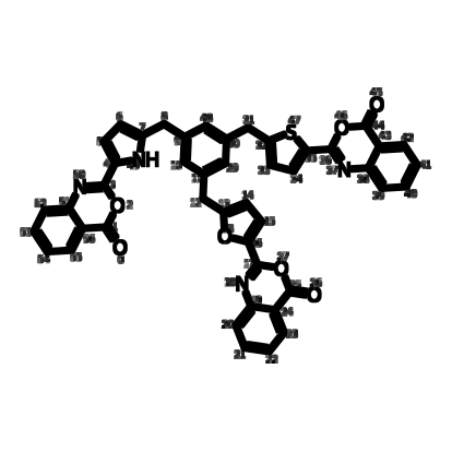 O=c1oc(-c2ccc(Cc3cc(Cc4ccc(-c5nc6ccccc6c(=O)o5)o4)cc(Cc4ccc(-c5nc6ccccc6c(=O)o5)s4)c3)[nH]2)nc2ccccc12